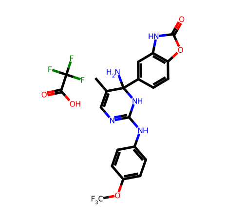 CC1=CN=C(Nc2ccc(OC(F)(F)F)cc2)NC1(N)c1ccc2oc(=O)[nH]c2c1.O=C(O)C(F)(F)F